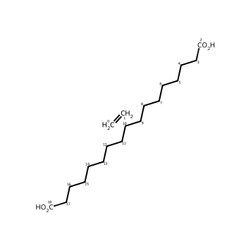 C=C.O=C(O)CCCCCCCCCCCCCCCC(=O)O